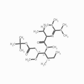 CC[C@H](C)[C@@H]([C@@H](CC(=O)OC(C)(C)C)OC)N(C)C(=O)C(N=C(N(C)C)N(C)C)C(C)C